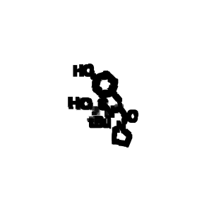 CC(C)(C)N(C(=O)O)[C@@H](Cc1ccc(O)cc1)C(=O)N1CCCC1